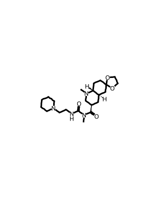 CN(C(=O)NCCN1CCCCC1)C(=O)[C@@H]1C[C@@H]2CC3(CC[C@H]2N(C)C1)OCCO3